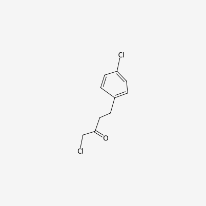 O=C(CCl)CCc1ccc(Cl)cc1